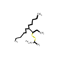 CCCCCCC(CCCCC)C(CC)SSC(C)C